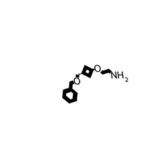 NCCO[C@H]1C[C@H](COCc2ccccc2)C1